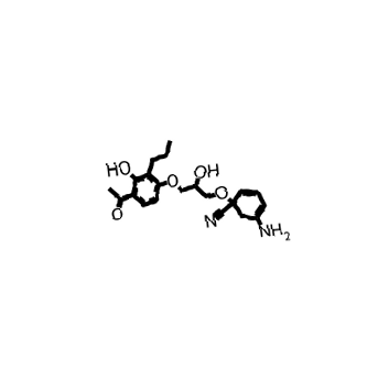 CCCc1c(OCC(O)COC2(C#N)C=CC=C(N)C2)ccc(C(C)=O)c1O